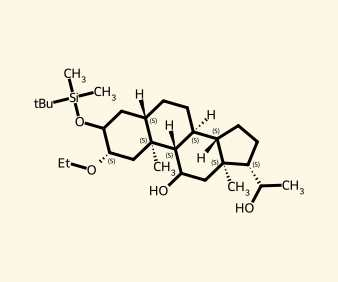 CCO[C@H]1C[C@@]2(C)[C@@H](CC[C@H]3[C@@H]4CC[C@H](C(C)O)[C@@]4(C)CC(O)[C@@H]32)CC1O[Si](C)(C)C(C)(C)C